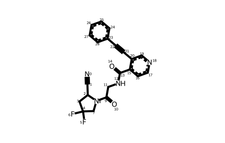 N#CC1CC(F)(F)CN1C(=O)CNC(=O)c1ccncc1C#Cc1ccccc1